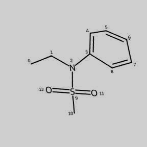 CCN(c1cc[c]cc1)S(C)(=O)=O